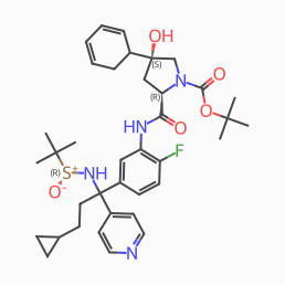 CC(C)(C)OC(=O)N1C[C@@](O)(C2C=CC=CC2)C[C@@H]1C(=O)Nc1cc(C(CCC2CC2)(N[S@@+]([O-])C(C)(C)C)c2ccncc2)ccc1F